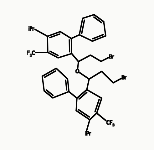 CC(C)c1cc(-c2ccccc2)c(C(CCBr)OC(CCBr)c2cc(C(F)(F)F)c(C(C)C)cc2-c2ccccc2)cc1C(F)(F)F